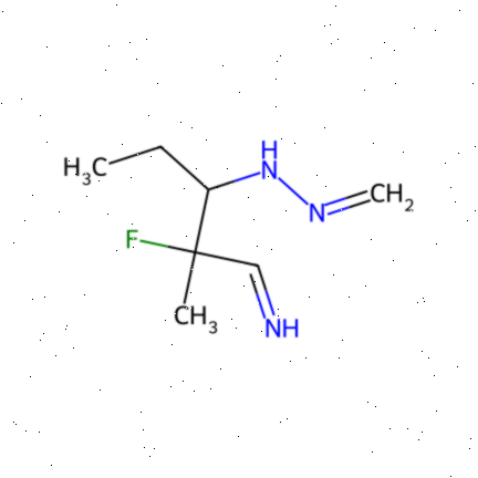 C=NNC(CC)C(C)(F)C=N